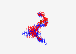 C=C1CC2C=Nc3cc(OCCCCCOc4cc(NC(=O)OCC(C)(C)SSCCC(=O)NCCNC(=O)CCN5C(=O)CC(SC[C@H](NC(=O)[C@H](CC(=O)O)NC(=O)[C@H](CC(=O)O)NC(=O)[C@H](CCCNC(=N)N)NC(=O)[C@H](CC(=O)O)NC(=O)CC[C@@H](C)NC(=O)c6ccc(NCc7cnc8nc(N)[nH]c(=O)c8n7)cc6)C(=O)O)C5=O)c(C(=O)N5CC(=C)CC5/C=N/OC)cc4OC)c(OC)cc3C(=O)N2C1